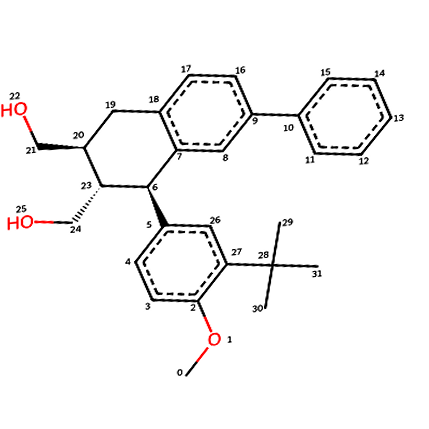 COc1ccc([C@@H]2c3cc(-c4ccccc4)ccc3C[C@H](CO)[C@H]2CO)cc1C(C)(C)C